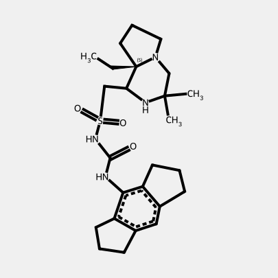 CC[C@@]12CCCN1CC(C)(C)NC2CS(=O)(=O)NC(=O)Nc1c2c(cc3c1CCC3)CCC2